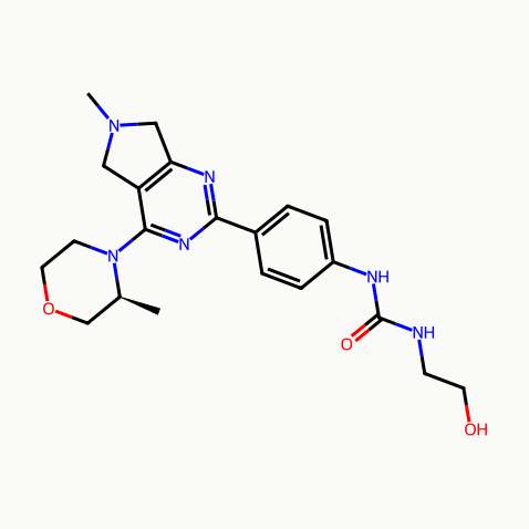 C[C@H]1COCCN1c1nc(-c2ccc(NC(=O)NCCO)cc2)nc2c1CN(C)C2